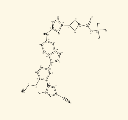 Cc1cc(C#N)nn1-c1nc(-n2cnc3cc(Nc4cnn(C5CN(C(=O)OC(C)(C)C)C5)c4)ccc32)ccc1CCO